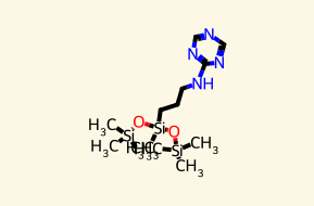 C[Si](C)(C)O[Si](C)(CCCNc1ncncn1)O[Si](C)(C)C